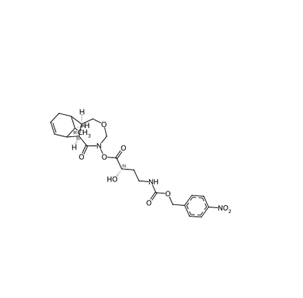 C[C@@H]1C2CC=CC1[C@@H]1C(=O)N(OC(=O)[C@@H](O)CCNC(=O)OCc3ccc([N+](=O)[O-])cc3)COC[C@H]21